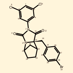 O=C1N(c2cc(Cl)cc(Cl)c2)C(=O)[C@]2(Cc3ccc(Br)cc3)C3CCC(C3)N12